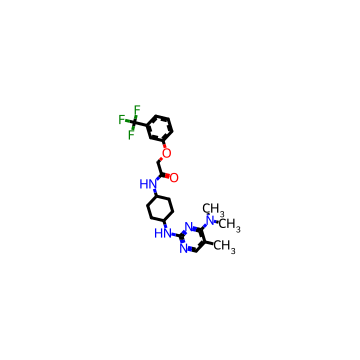 Cc1cnc(NC2CCC(NC(=O)COc3cccc(C(F)(F)F)c3)CC2)nc1N(C)C